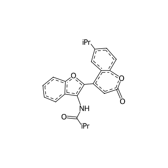 CC(C)C(=O)Nc1c(-c2cc(=O)oc3ccc(C(C)C)cc23)oc2ccccc12